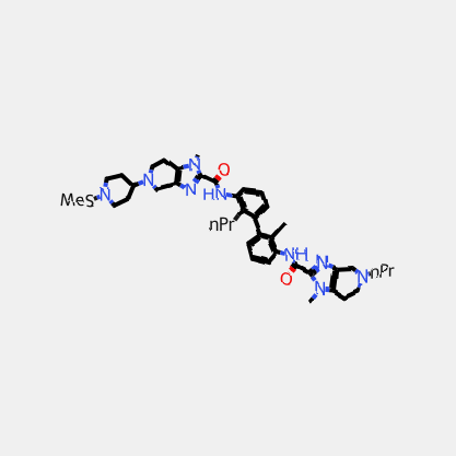 CCCc1c(NC(=O)c2nc3c(n2C)CCN(C2CCN(SC)CC2)C3)cccc1-c1cccc(NC(=O)c2nc3c(n2C)CCN(CCC)C3)c1C